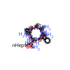 CCCCCCC[C@@H](O)CC(=O)N[C@H](CCN)C(=O)N[C@H]1CCNC(=O)[C@H](CC2CNCC3(CCCCCCCC3)C2)NC(=O)[C@H](CCN)NC(=O)[C@H](CCN)NC(=O)[C@H](CC(C)C)NC(=O)[C@@H](Cc2ccccc2)NC(=O)[C@H](CCN)NC1=O